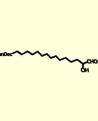 CCCCCCCCCCCCCCCCCCCCCCCC(O)[C]=O